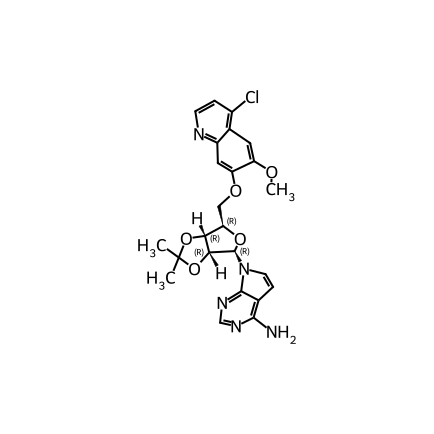 COc1cc2c(Cl)ccnc2cc1OC[C@H]1O[C@@H](n2ccc3c(N)ncnc32)[C@@H]2OC(C)(C)O[C@@H]21